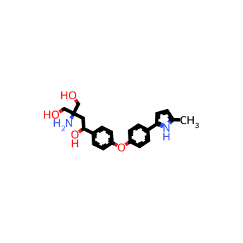 Cc1ccc(-c2ccc(Oc3ccc(C(O)CC(N)(CO)CO)cc3)cc2)[nH]1